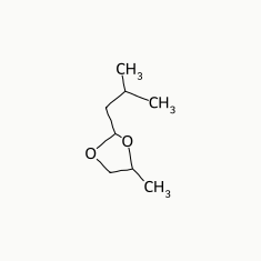 CC(C)CC1OCC(C)O1